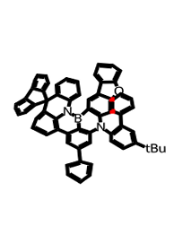 CC(C)(C)c1ccc(N2c3cc4oc5ccccc5c4cc3B3c4c(cc(-c5ccccc5)cc42)-c2cccc4c2N3c2ccccc2C42c3ccccc3-c3ccccc32)c(-c2ccccc2)c1